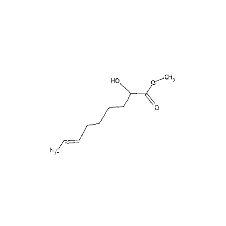 CC=CCCCCC(O)C(=O)OC